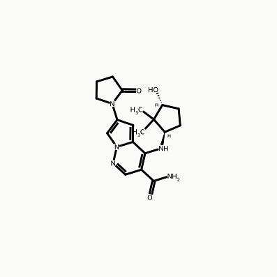 CC1(C)[C@H](O)CC[C@H]1Nc1c(C(N)=O)cnn2cc(N3CCCC3=O)cc12